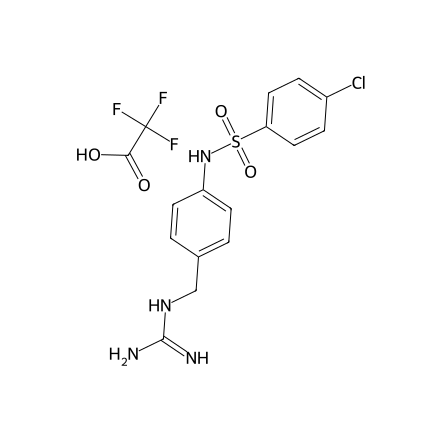 N=C(N)NCc1ccc(NS(=O)(=O)c2ccc(Cl)cc2)cc1.O=C(O)C(F)(F)F